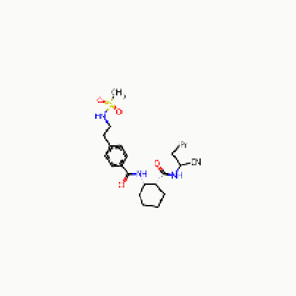 CC(C)C[C@@H](C#N)NC(=O)[C@@H]1CCCC[C@@H]1NC(=O)c1ccc(CCNS(C)(=O)=O)cc1